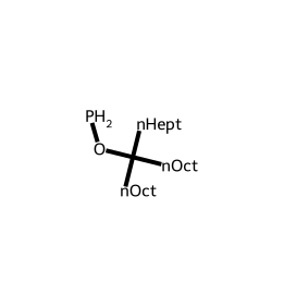 CCCCCCCCC(CCCCCCC)(CCCCCCCC)OP